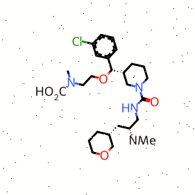 CN[C@@H](CNC(=O)N1CCC[C@@H](C(OCCN(C)C(=O)O)c2cccc(Cl)c2)C1)C[C@H]1CCCOC1